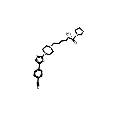 N#Cc1ccc(-c2csc(N3CCN(CCCC[C@H](N)C(=O)N4CCSC4)CC3)n2)cc1